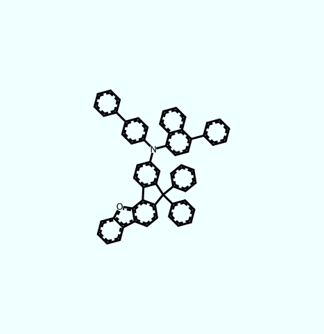 c1ccc(-c2ccc(N(c3ccc4c(c3)C(c3ccccc3)(c3ccccc3)c3ccc5c(oc6ccccc65)c3-4)c3ccc(-c4ccccc4)c4ccccc34)cc2)cc1